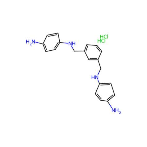 Cl.Cl.Nc1ccc(NCc2cccc(CNc3ccc(N)cc3)c2)cc1